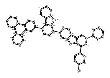 N#Cc1ccc(-c2nc(-c3ccccc3)nc3c2oc2cc(-c4ccc(-c5ccc6c7ccccc7c7ccccc7c6c5)c5c4oc4ccccc45)ccc23)cc1